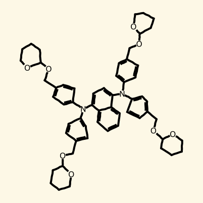 c1ccc2c(N(c3ccc(COC4CCCCO4)cc3)c3ccc(COC4CCCCO4)cc3)ccc(N(c3ccc(COC4CCCCO4)cc3)c3ccc(COC4CCCCO4)cc3)c2c1